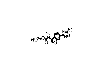 CCc1nc(-c2ccc3c(c2)OC[C@H]3NC(=O)OCCO)no1